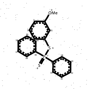 COc1cccc(SP(=S)(c2ccccc2)c2ccccc2)c1